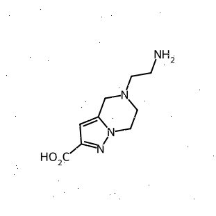 NCCN1CCn2nc(C(=O)O)cc2C1